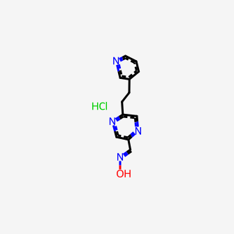 Cl.O/N=C/c1cnc(CCc2cccnc2)cn1